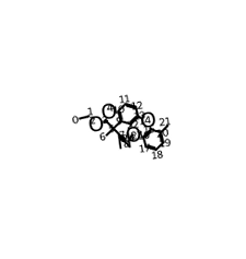 CCOC(=O)C(C)(C#N)c1cccc(Oc2ccccc2C)c1OC